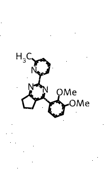 COc1cccc(-c2nc(-c3cccc(C)n3)nc3c2CCC3)c1OC